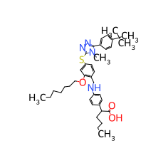 CCCCCCCOc1cc(Sc2nnc(-c3ccc(C(C)(C)C)cc3)n2C)ccc1CNc1ccc(C(CCCC)C(=O)O)cc1